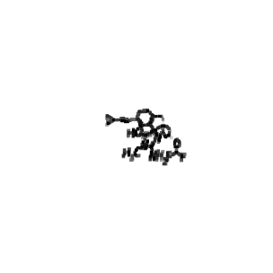 CN1C(N)=N[C@]2(c3cc(C#CC4CC4)ccc3C[C@]23CC[C@@H](OC(F)F)CC3)[C@@H]1O